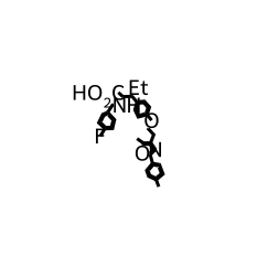 CCC(c1ccc(OCCc2nc(-c3ccc(C)cc3)oc2C)cc1)C(NCc1ccc(F)cc1)C(=O)O